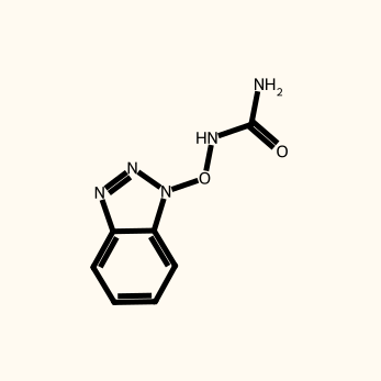 NC(=O)NOn1nnc2ccccc21